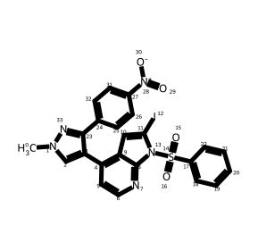 Cn1cc(-c2ccnc3c2cc(I)n3S(=O)(=O)c2ccccc2)c(-c2ccc([N+](=O)[O-])cc2)n1